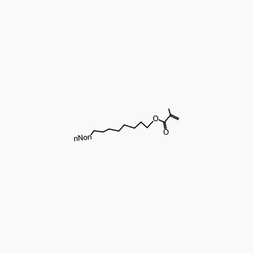 C=C(C)C(=O)OCCCCCCCCCCCCCCCCC